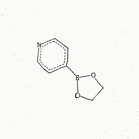 c1cc(B2OCCO2)ccn1